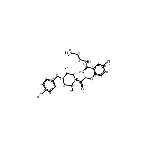 C[C@@H]1CN(C(=O)COc2ccc(Cl)cc2C(=O)NCCN)[C@@H](C)CN1Cc1ccc(F)cc1